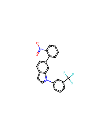 O=[N+]([O-])c1ccccc1-c1ccc2ccn(-c3cccc(C(F)(F)F)c3)c2c1